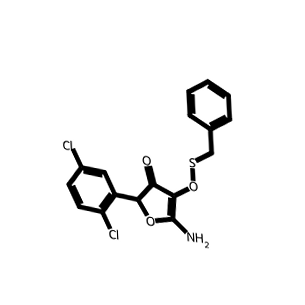 NC1=C(OSCc2ccccc2)C(=O)C(c2cc(Cl)ccc2Cl)O1